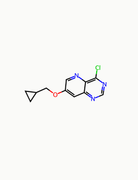 Clc1ncnc2cc(OCC3CC3)cnc12